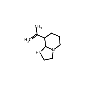 C=C(C)C1CCCN2CCNC12